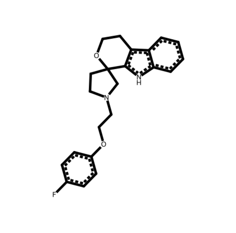 Fc1ccc(OCCN2CCC3(C2)OCCc2c3[nH]c3ccccc23)cc1